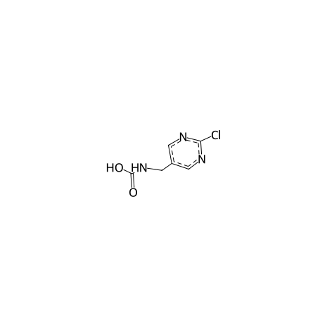 O=C(O)NCc1cnc(Cl)nc1